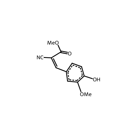 COC(=O)C(C#N)=Cc1ccc(O)c(OC)c1